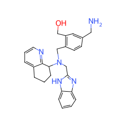 NCc1ccc(CN(Cc2nc3ccccc3[nH]2)C2CCCc3cccnc32)c(CO)c1